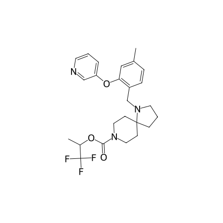 Cc1ccc(CN2CCCC23CCN(C(=O)OC(C)C(F)(F)F)CC3)c(Oc2cccnc2)c1